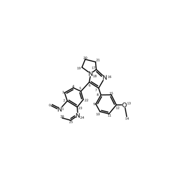 C=Nc1ccc(-c2c(-c3cccc(OC)c3)nc3n2CCC3)cc1/N=C\C